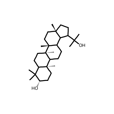 CC(C)(O)C1CC[C@@]2(C)CC[C@]3(C)C(CCC4[C@@]5(C)CC[C@H](O)C(C)(C)C5CC[C@]43C)C12